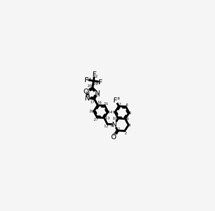 O=C1CCc2ccc(F)cc2N1Cc1ccc(-c2noc(C(F)(F)F)n2)cc1